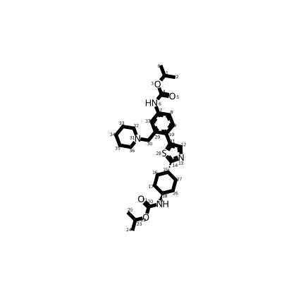 CC(C)OC(=O)Nc1ccc(-c2cnc([C@H]3CC[C@H](NC(=O)OC(C)C)CC3)s2)c(CN2CCCCC2)c1